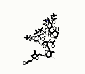 C=C1C[C@H](CCC=O)OC1CC[C@H]1C[C@@H](C)C(=C)C(CC2O[C@H](C[C@@H](CO[Si](C)(C)C(C)(C)C)O[Si](C)(C)C(C)(C)C)[C@H](OC)[C@H]2SC(=O)C[C@H]2CC[C@@H]3OC(C(/C=C/I)O[Si](C)(C)C(C)(C)C)C(O[Si](C)(C)C(C)(C)C)C(O[Si](C)(C)C(C)(C)C)[C@H]3O2)O1